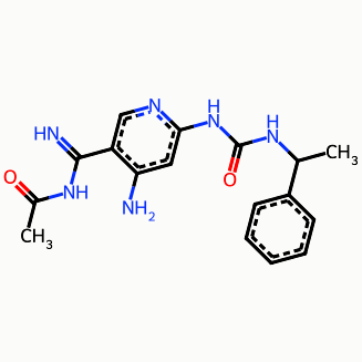 CC(=O)NC(=N)c1cnc(NC(=O)NC(C)c2ccccc2)cc1N